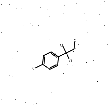 ClCC(Cl)(Cl)c1ccc(Cl)cc1